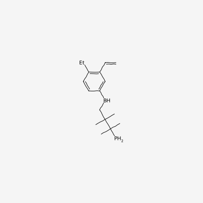 C=Cc1cc(BCC(C)(C)C(C)(C)P)ccc1CC